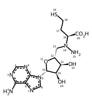 Nc1ncnc2c1ncn2[C@@H]1O[C@H](CN(N)[C@@H](CCS)C(=O)O)[C@@H](O)[C@H]1O